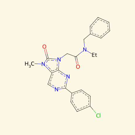 CCN(Cc1ccccc1)C(=O)Cn1c(=O)n(C)c2cnc(-c3ccc(Cl)cc3)nc21